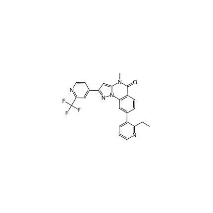 CCc1ncccc1-c1ccc2c(=O)n(C)c3cc(-c4ccnc(C(F)(F)F)c4)nn3c2c1